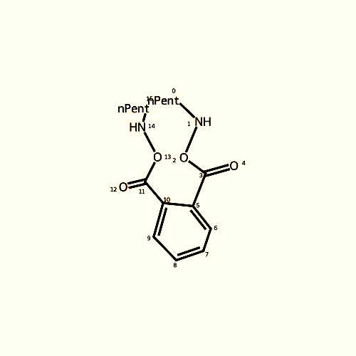 CCCCCNOC(=O)c1ccccc1C(=O)ONCCCCC